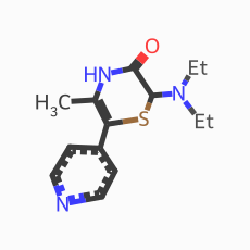 CCN(CC)C1SC(c2ccncc2)=C(C)NC1=O